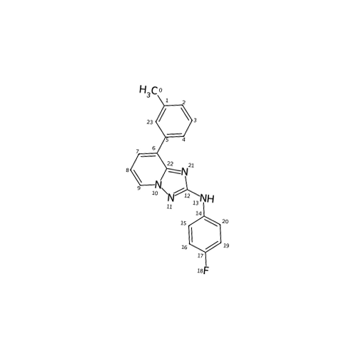 Cc1cccc(-c2cccn3nc(Nc4ccc(F)cc4)nc23)c1